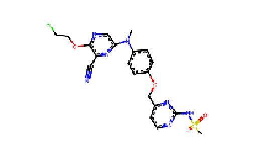 CN(c1ccc(OCc2ccnc(NS(C)(=O)=O)n2)cc1)c1cnc(OCCCl)c(C#N)n1